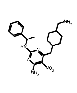 C[C@@H](Nc1nc(N)c([N+](=O)[O-])c(CC2CCC(CN)CC2)n1)c1ccccc1